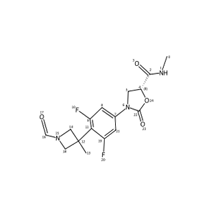 CNC(=O)[C@H]1CN(c2cc(F)c(C3(C)CN(C=O)C3)c(F)c2)C(=O)O1